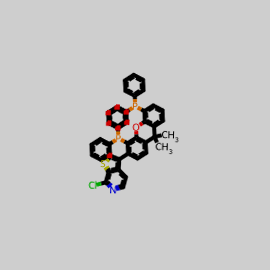 CC1(C)c2cccc(P(c3ccccc3)c3ccccc3)c2Oc2c1ccc(-c1csc3c(Cl)nccc13)c2P(c1ccccc1)c1ccccc1